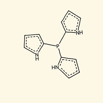 c1c[nH]c(P(c2ccc[nH]2)c2ccc[nH]2)c1